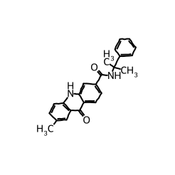 Cc1ccc2[nH]c3cc(C(=O)NC(C)(C)c4ccccc4)ccc3c(=O)c2c1